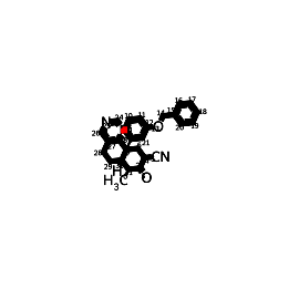 C[C@@H]1C(=O)C(C#N)C[C@@]2(c3cccc(OCc4ccccc4)c3)c3ncncc3CC[C@@H]12